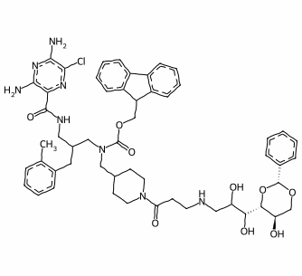 Cc1ccccc1CC(CNC(=O)c1nc(Cl)c(N)nc1N)CN(CC1CCN(C(=O)CCNCC(O)C(O)[C@@H]2O[C@H](c3ccccc3)OC[C@H]2O)CC1)C(=O)OCC1c2ccccc2-c2ccccc21